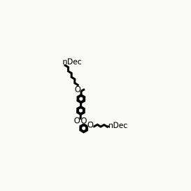 CCCCCCCCCCCCCCCCCCOC(C)c1ccc(-c2ccc(C(=O)Oc3ccccc3OCCCCCCCCCCCCCCC)cc2)cc1